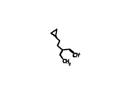 [CH]=CC(CC)CCC1CC1